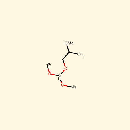 CCCO[SiH](OCCC)OCC(C)OC